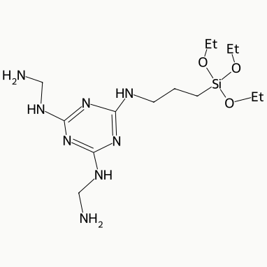 CCO[Si](CCCNc1nc(NCN)nc(NCN)n1)(OCC)OCC